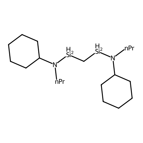 CCCN([SiH2]C[SiH2]N(CCC)C1CCCCC1)C1CCCCC1